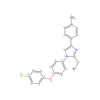 CC(C)Cc1nc(-c2ccc([N+](=O)[O-])cc2)cn1-c1ccc(Oc2ccc(Cl)cc2)cc1